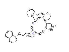 CC1C=C2CCCC3=C2[N+]1(CN1CCOCC1)/C=C/O/C(CCCOc1cccc2ccccc12)=C(/C(=O)O)OCC1=C3CNN1